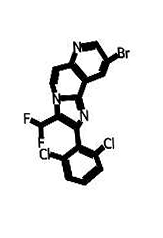 FC(F)c1c(-c2c(Cl)cccc2Cl)nc2c3cc(Br)cnc3ccn12